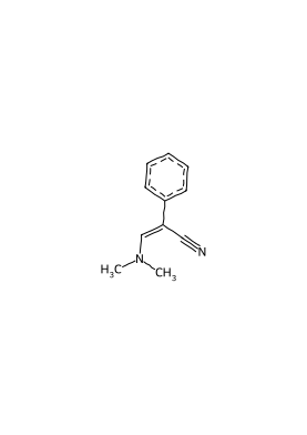 CN(C)C=C(C#N)c1ccccc1